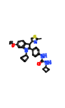 CCOc1ccc2c(-c3csc(C)n3)c(-c3ccc(NC(=O)NC4CCC4)cc3)n(C3CCC3)c2c1